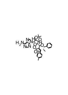 CC[C@H](OC(C(=Cc1ccc(C)cc1)C(=O)O)[C@H]1O[C@@H](n2cnc3c(N)ncnc32)[C@@H]2OC(C)(C)O[C@@H]21)c1ccccc1